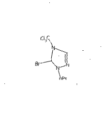 CCCN1N=CN(C(Cl)(Cl)Cl)C1Br